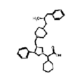 C[C@@H](Cc1ccccc1)CC1CCN(CC2CN(C(C(=O)O)C3CCCCC3)CC2c2ccccc2)CC1